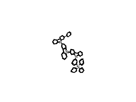 c1ccc(-c2ccc3c4ccccc4n(-c4ccc5c(c4)c4ccccc4n5-c4ccc5c6ccccc6n(-c6cccc([Si](c7ccccc7)(c7ccccc7)c7ccccc7)c6)c5c4)c3c2)cc1